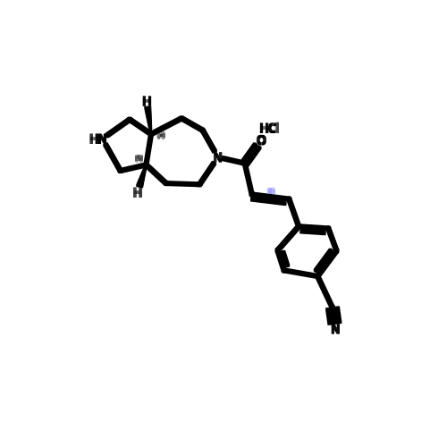 Cl.N#Cc1ccc(/C=C/C(=O)N2CC[C@@H]3CNC[C@@H]3CC2)cc1